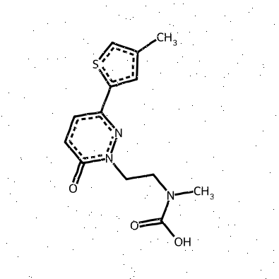 Cc1csc(-c2ccc(=O)n(CCN(C)C(=O)O)n2)c1